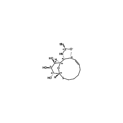 C[C@@H]1C=CCCCCS[C@H]2O[C@@H]([C@H](O)[C@H](O)[C@H]2O)[C@@H]1N[S@+]([O-])C(C)(C)C